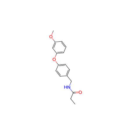 CCC(=O)NCc1ccc(Oc2cccc(OC)c2)cc1